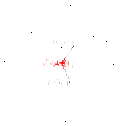 CCCCCCCC/C=C\CCCCCCCC(=O)OC([C]=O)(OCC(O)CO)OC(=O)CCCCCCC/C=C\CCCCCCCC